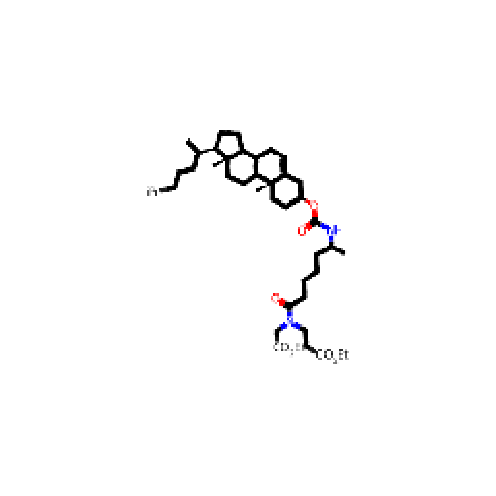 CCOC(=O)CCN(CC(=O)OCC)C(=O)CCCCC(C)NC(=O)O[C@H]1CC[C@@]2(C)C(=CCC3C2CC[C@@]2(C)C3CC[C@@H]2C(C)CCCC(C)C)C1